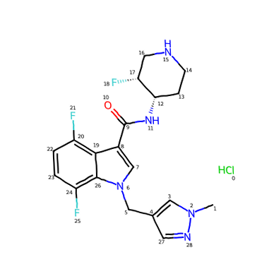 Cl.Cn1cc(Cn2cc(C(=O)N[C@H]3CCNC[C@H]3F)c3c(F)ccc(F)c32)cn1